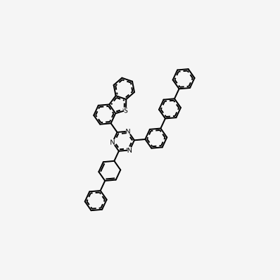 C1=CC(c2nc(-c3cccc(-c4ccc(-c5ccccc5)cc4)c3)nc(-c3cccc4c3sc3ccccc34)n2)CC=C1c1ccccc1